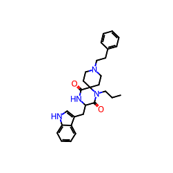 CCCN1C(=O)C(Cc2c[nH]c3ccccc23)NC(=O)C12CCN(CCc1ccccc1)CC2